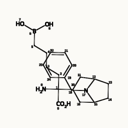 NC(CCCCB(O)O)(C(=O)O)C1CC2CCC(C1)N2Cc1ccccc1